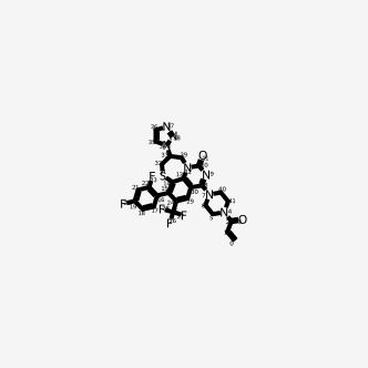 C=CC(=O)N1CCN(c2nc(=O)n3c4c(c(-c5ccc(F)cc5F)c(C(F)(F)F)cc24)SCC(n2ccnn2)C3)CC1